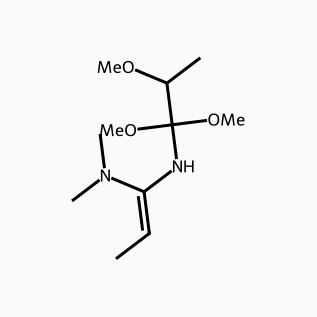 CC=C(NC(OC)(OC)C(C)OC)N(C)C